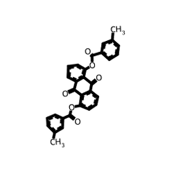 Cc1cccc(C(=O)Oc2cccc3c2C(=O)c2cccc(OC(=O)c4cccc(C)c4)c2C3=O)c1